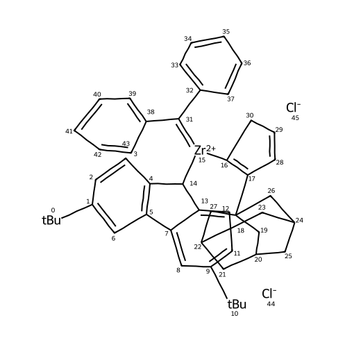 CC(C)(C)c1ccc2c(c1)-c1cc(C(C)(C)C)ccc1[CH]2[Zr+2]([C]1=C(C23CC4CC(CC(C4)C2)C3)C=CC1)=[C](c1ccccc1)c1ccccc1.[Cl-].[Cl-]